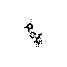 C=Cc1n[nH]c(=O)c(C)c1N1CCN(Cc2ccc(F)cc2C)CC1